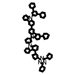 c1ccc(-c2cc(-c3ccccc3)cc(-n3c4ccccc4c4cc(-c5ccc6c(c5)c5cc(-c7ccccc7)ccc5n6-c5cccc(-n6c7ccccc7c7c(-c8cccc(-c9nc(-c%10ccccc%10)nc(-c%10ccccc%10)n9)c8)cccc76)c5)ccc43)c2)cc1